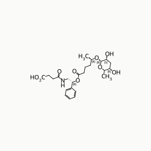 CC1O[C@@H](O[C@H](C)CCCC(=O)O[C@@H](CNC(=O)CCC(=O)O)c2ccccc2)[C@@H](O)C[C@H]1O